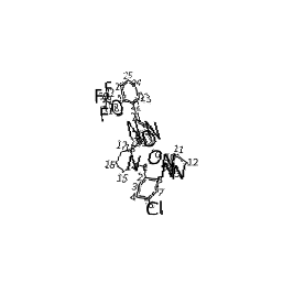 O=C(c1ccc(Cl)cc1-n1nccn1)N1CCCC1c1nc(-c2ccccc2OC(F)(F)F)no1